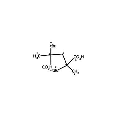 CC(C)(C)C(C)(CC(C)(C(=O)O)C(C)(C)C)C(=O)O